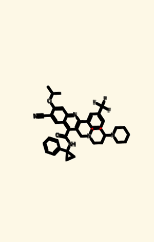 CC(C)Oc1cc2nc(-c3cccc(C(F)(F)F)c3)c(CN3CCC(N4CCCCC4)CC3)c(C(=O)NC3(c4ccccc4)CC3)c2cc1C#N